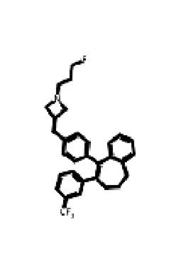 FCCCN1CC(Cc2ccc(C3=C(c4cccc(C(F)(F)F)c4)CCCc4ccccc43)cc2)C1